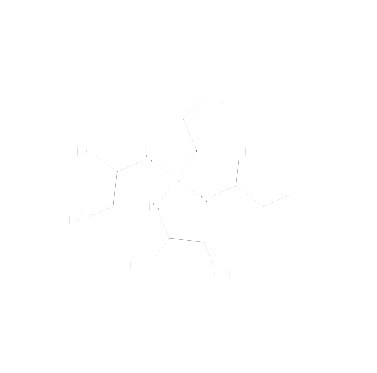 C=CC[Si](NC(C)CC)(NC(C)CC)NC(C)CC